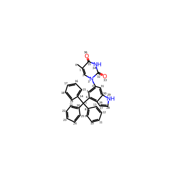 Cc1cn(-c2cc(C(c3ccccc3)(c3ccccc3)c3ccccc3)c3cc[nH]c3c2)c(=O)[nH]c1=O